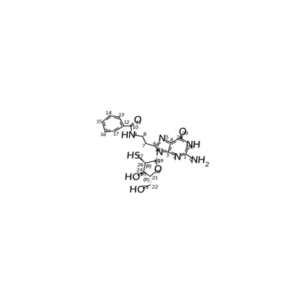 Nc1nc2c(nc(CCNC(=O)c3ccccc3)n2[C@@H]2O[C@H](CO)[C@@H](O)[C@H]2S)c(=O)[nH]1